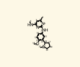 CNc1cc(C)nc(Nc2ccc(OC)c(C3CCCN3C)c2)n1